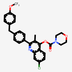 Cc1c(-c2ccc(Cc3ccc(OC(F)(F)F)cc3)cc2)nc2cc(Cl)ccc2c1OC(=O)N1CCOCC1